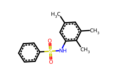 Cc1cc(C)c(C)c(NS(=O)(=O)c2ccccc2)c1